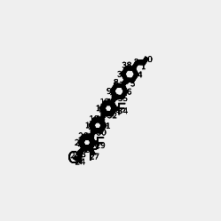 C/C=C/C1CCC(C2CCC(c3ccc(-c4ccc(-c5ccc(C6CO6)c(F)c5F)cc4)cc3F)CC2)CC1